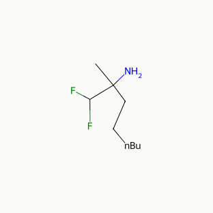 CCCCCCC(C)(N)C(F)F